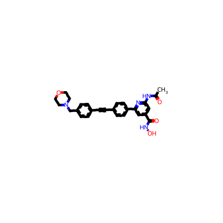 CC(=O)Nc1cc(C(=O)NO)cc(-c2ccc(C#Cc3ccc(CN4CCOCC4)cc3)cc2)n1